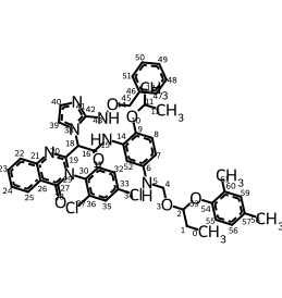 CCC(OCNc1ccc(OC(C)C)c(NC(=O)C(c2nc3ccccc3c(=O)n2-c2ccc(Cl)cc2Cl)n2ccnc2NOCc2ccccc2)c1)Oc1ccc(C)cc1C